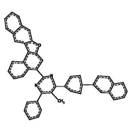 Cc1c(-c2ccccc2)nc(-c2cc3oc4cc5ccccc5cc4c3c3ccccc23)nc1-c1ccc(-c2ccc3ccccc3c2)cc1